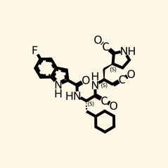 O=C=C[C@H](C[C@@H]1CCNC1=C=O)NC(=C=O)[C@H](CC1CCCCC1)NC(=O)c1cc2cc(F)ccc2[nH]1